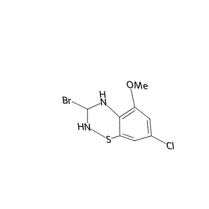 COc1cc(Cl)cc2c1NC(Br)NS2